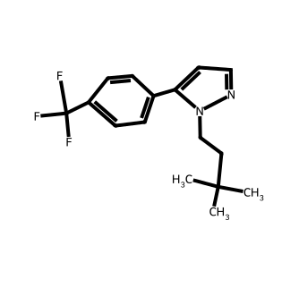 CC(C)(C)CCn1nccc1-c1ccc(C(F)(F)F)cc1